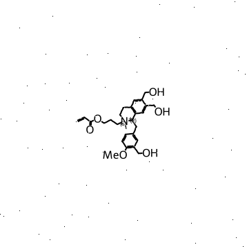 C=CC(=O)OCCC[N@+]1(C)CCc2cc(CO)c(CO)cc2[C@H]1Cc1ccc(OC)c(CO)c1